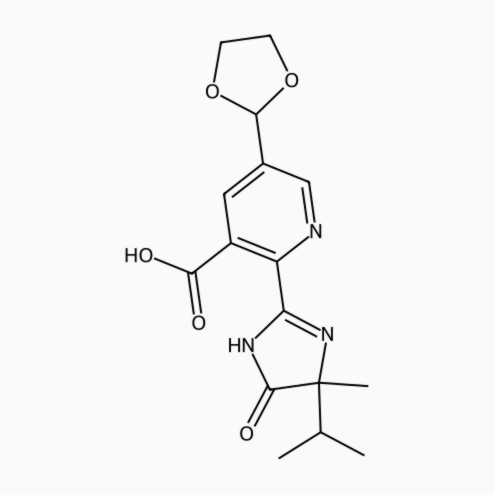 CC(C)C1(C)N=C(c2ncc(C3OCCO3)cc2C(=O)O)NC1=O